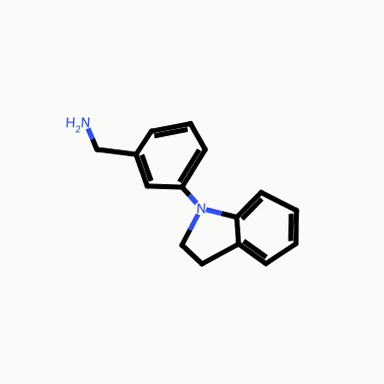 NCc1cccc(N2CCc3ccccc32)c1